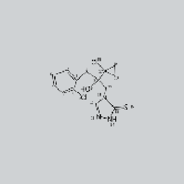 OC(Cc1ccccc1Cl)(Cn1cn[nH]c1=S)C1(Cl)CC1